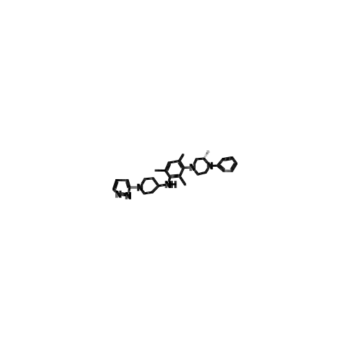 Cc1cc(C)c(N2CCN(c3ccccc3)[C@@H](C)C2)c(C)c1NC1CCN(c2cccnn2)CC1